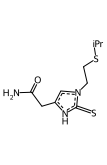 CC(C)SCCn1cc(CC(N)=O)[nH]c1=S